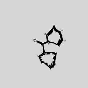 O=C(c1ccccc1)C1C=CCC=C1